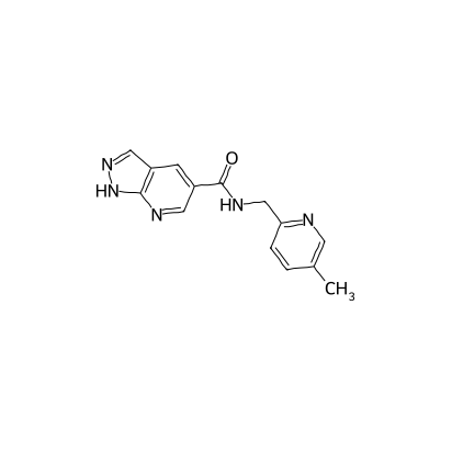 Cc1ccc(CNC(=O)c2cnc3[nH]ncc3c2)nc1